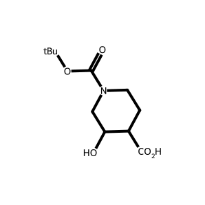 CC(C)(C)OC(=O)N1CCC(C(=O)O)C(O)C1